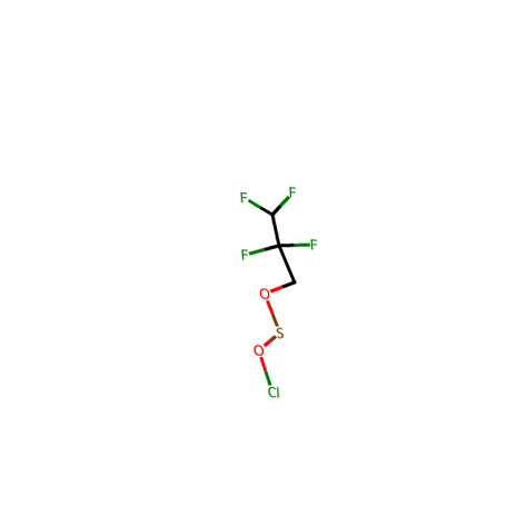 FC(F)C(F)(F)COSOCl